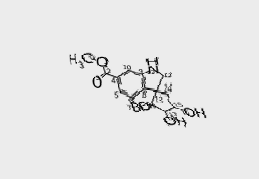 COC(=O)c1cc(Br)c2c(c1)NCC21CC(O)C(O)C1=O